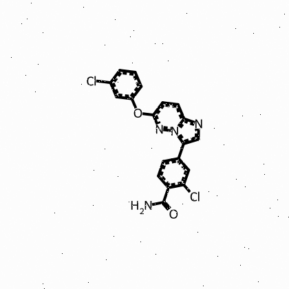 NC(=O)c1ccc(-c2cnc3ccc(Oc4cccc(Cl)c4)nn23)cc1Cl